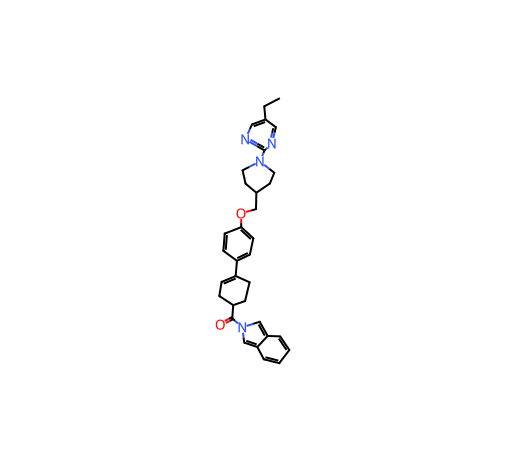 CCc1cnc(N2CCC(COc3ccc(C4=CCC(C(=O)n5cc6ccccc6c5)CC4)cc3)CC2)nc1